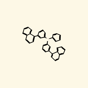 c1ccc(N(c2cccc(-c3cccc4ccccc34)c2)c2cccc(-c3cccc4ccccc34)c2)cc1